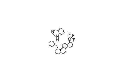 C1=CNc2ccccc2C=N1.FC(F)(F)Oc1cccc2c1=CCc1c3c(ccc1=2)=CCCC3Cc1ccccc1